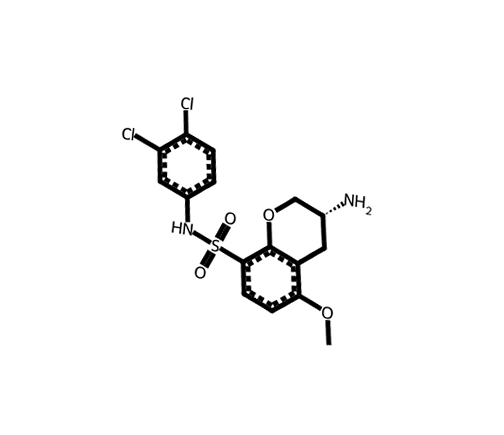 COc1ccc(S(=O)(=O)Nc2ccc(Cl)c(Cl)c2)c2c1C[C@@H](N)CO2